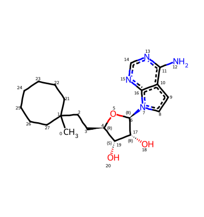 CC1(CC[C@H]2O[C@@H](n3ccc4c(N)ncnc43)[C@H](O)[C@@H]2O)CCCCCCC1